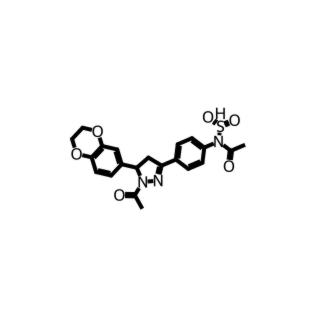 CC(=O)N1N=C(c2ccc(N(C(C)=O)[SH](=O)=O)cc2)CC1c1ccc2c(c1)OCCO2